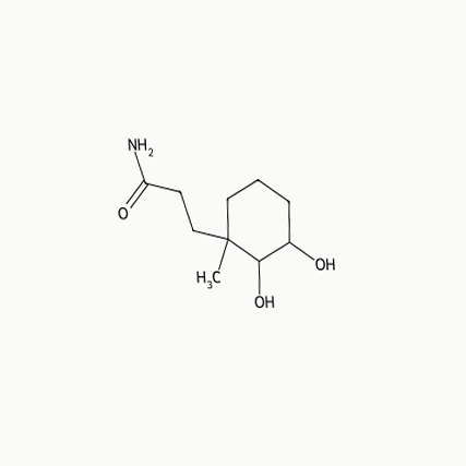 CC1(CCC(N)=O)CCCC(O)C1O